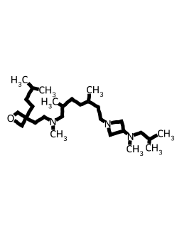 CC(C)CCC1(CCN(C)CC(C)CCC(C)CCN2CC(N(C)CC(C)C)C2)COC1